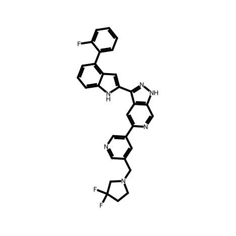 Fc1ccccc1-c1cccc2[nH]c(-c3n[nH]c4cnc(-c5cncc(CN6CCC(F)(F)C6)c5)cc34)cc12